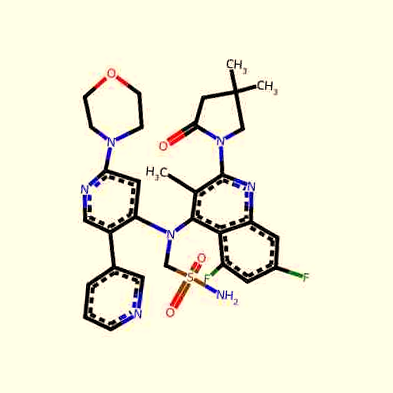 Cc1c(N2CC(C)(C)CC2=O)nc2cc(F)cc(F)c2c1N(CS(N)(=O)=O)c1cc(N2CCOCC2)ncc1-c1cccnc1